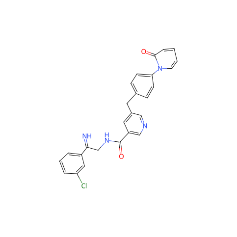 N=C(CNC(=O)c1cncc(Cc2ccc(-n3ccccc3=O)cc2)c1)c1cccc(Cl)c1